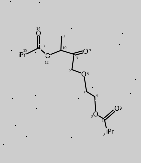 CC(C)C(=O)OCCOCC(=O)C(C)OC(=O)C(C)C